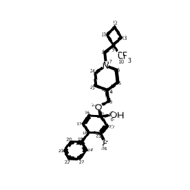 OC1(OCC2CCN(CC3(C(F)(F)F)CCC3)CC2)C=CC(c2ccccc2)C(F)=C1